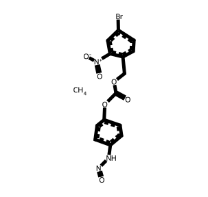 C.O=NNc1ccc(OC(=O)OCc2ccc(Br)cc2[N+](=O)[O-])cc1